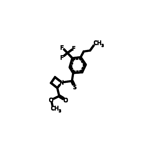 CCCc1ccc(C(=S)N2CCC2C(=O)OC)cc1C(F)(F)F